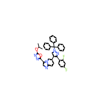 CC(C)Oc1nnc(-c2cnc3ccc(-c4cn(C(c5ccccc5)(c5ccccc5)c5ccccc5)nc4-c4ccc(F)cc4F)cn23)o1